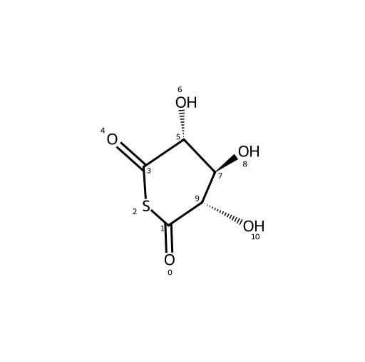 O=C1SC(=O)[C@H](O)[C@@H](O)[C@@H]1O